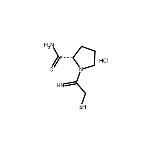 Cl.N=C(CS)N1CCC[C@H]1C(N)=O